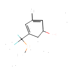 CPC(F)(F)C1=CC(C)=CC(O)C1